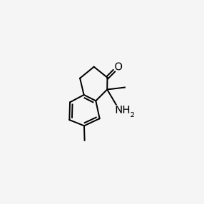 Cc1ccc2c(c1)C(C)(N)C(=O)CC2